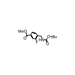 COC(=O)c1ccc(CNC(=O)OC(C)(C)C)c(F)c1